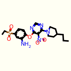 CCCC1CCN(c2ncnc(Oc3ccc(S(=O)(=O)CC)cc3N)c2[N+](=O)[O-])CC1